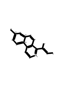 C/C=C(\C)c1nccc2c1ccc1cc(C)ccc12